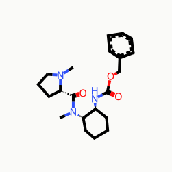 CN1CCC[C@H]1C(=O)N(C)[C@H]1CCCC[C@@H]1NC(=O)OCc1ccccc1